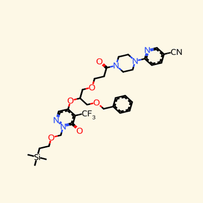 C[Si](C)(C)CCOCn1ncc(OC(COCCC(=O)N2CCN(c3ccc(C#N)cn3)CC2)COCc2ccccc2)c(C(F)(F)F)c1=O